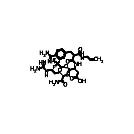 C=CCNC(=O)C(Cc1ccc(C(=N)N)cc1)C(=O)N[C@@H](CC(=O)O)C(=N[C@@H](CCCNC(=N)N)C(N)=O)OC(=O)C(F)(F)F